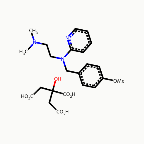 COc1ccc(CN(CCN(C)C)c2ccccn2)cc1.O=C(O)CC(O)(CC(=O)O)C(=O)O